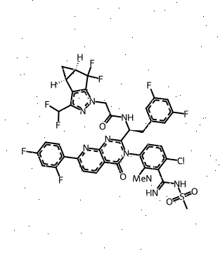 CNc1c(-n2c([C@H](Cc3cc(F)cc(F)c3)NC(=O)Cn3nc(C(F)F)c4c3C(F)(F)[C@@H]3C[C@H]43)nc3nc(-c4ccc(F)cc4F)ccc3c2=O)ccc(Cl)c1C(=N)NS(C)(=O)=O